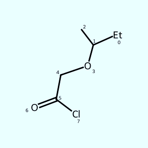 CCC(C)OCC(=O)Cl